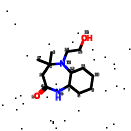 CC1(C)CC(=O)NC2CCCCC2N1CCO